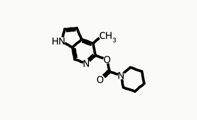 Cc1c(OC(=O)N2CCCCC2)ncc2[nH]ccc12